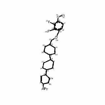 CCCC1C=CC(C2CCC(C3CCC(COc4ccc(OCC)c(F)c4F)CC3)CC2)CC1